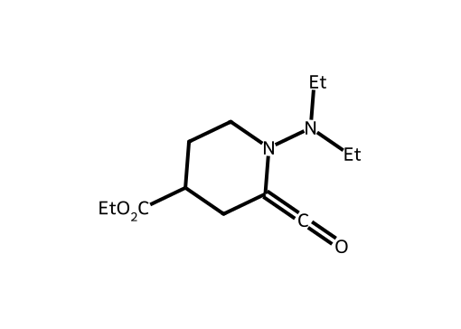 CCOC(=O)C1CCN(N(CC)CC)C(=C=O)C1